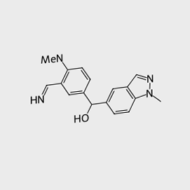 CNc1ccc(C(O)c2ccc3c(cnn3C)c2)cc1C=N